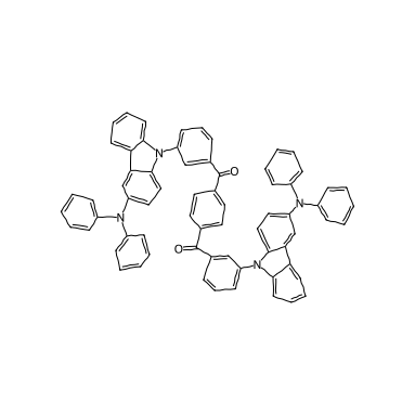 O=C(c1ccc(C(=O)c2cccc(-n3c4ccccc4c4cc(N(c5ccccc5)c5ccccc5)ccc43)c2)cc1)c1cccc(-n2c3ccccc3c3cc(N(c4ccccc4)c4ccccc4)ccc32)c1